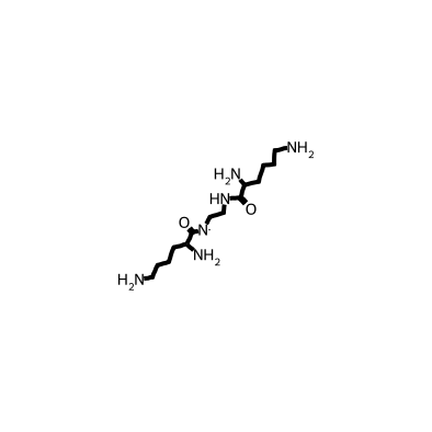 NCCCCC(N)C(=O)[N]CCNC(=O)C(N)CCCCN